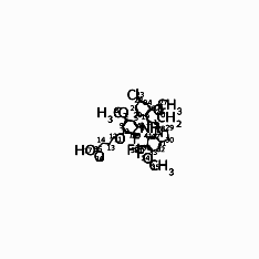 C=C(C(Nc1cc(OC)cc(OCCCC(=O)O)c1)c1ccc(Cl)cc1OC)N1CCc2cc(OC)c(C(F)(F)F)cc21